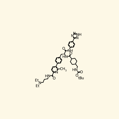 CCN(CC)CCCNC(=O)c1ccc(-c2ccc(C[C@H](NC(=O)C3CCC(CNC(=O)OC(C)(C)C)CC3)C(=O)Nc3ccc(-c4nn[nH]n4)cc3)cc2)c(C)n1